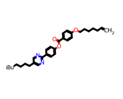 C=CCCCCCOc1ccc(C(=O)Oc2ccc(-c3ncc(CCCCC(C)CC)cn3)cc2)cc1